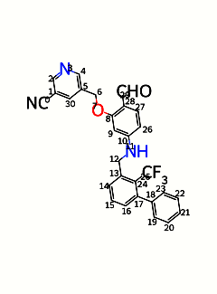 N#Cc1cncc(COc2cc(NCc3cccc(-c4ccccc4)c3C(F)(F)F)ccc2C=O)c1